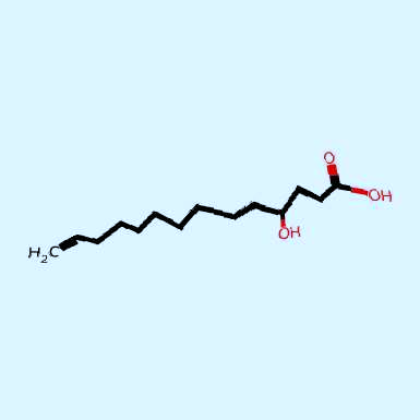 C=CCCCCCCCCC(O)CCC(=O)O